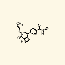 C/C=C/Cn1cc(-c2ccc(C(=O)NC3CC3)cc2)c2cc[nH]c2c1=O